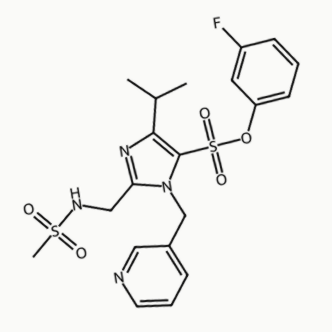 CC(C)c1nc(CNS(C)(=O)=O)n(Cc2cccnc2)c1S(=O)(=O)Oc1cccc(F)c1